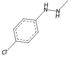 CNNc1ccc(Cl)cc1